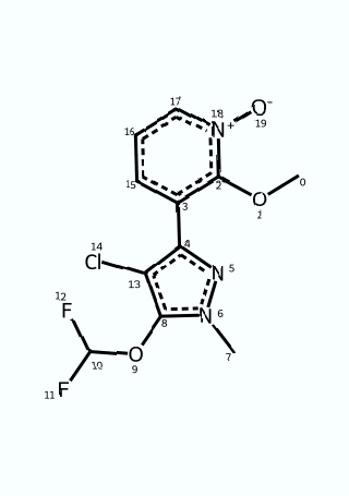 COc1c(-c2nn(C)c(OC(F)F)c2Cl)ccc[n+]1[O-]